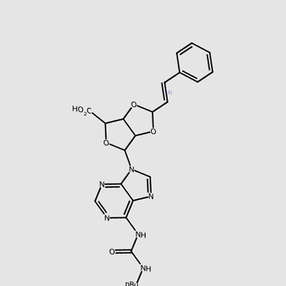 CCCCNC(=O)Nc1ncnc2c1ncn2C1OC(C(=O)O)C2OC(/C=C/c3ccccc3)OC21